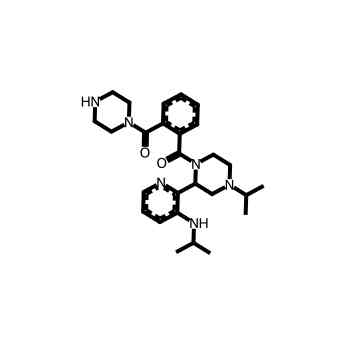 CC(C)Nc1cccnc1C1CN(C(C)C)CCN1C(=O)c1ccccc1C(=O)N1CCNCC1